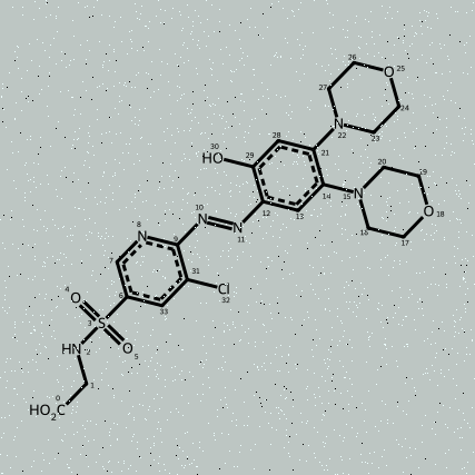 O=C(O)CNS(=O)(=O)c1cnc(N=Nc2cc(N3CCOCC3)c(N3CCOCC3)cc2O)c(Cl)c1